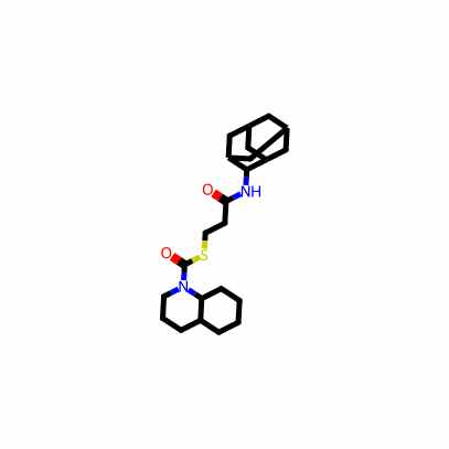 O=C(CCSC(=O)N1CCCC2CCCCC21)NC1C2CC3CC(C2)CC1C3